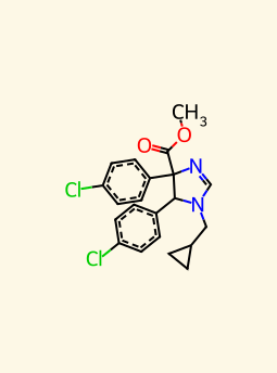 COC(=O)C1(c2ccc(Cl)cc2)N=CN(CC2CC2)C1c1ccc(Cl)cc1